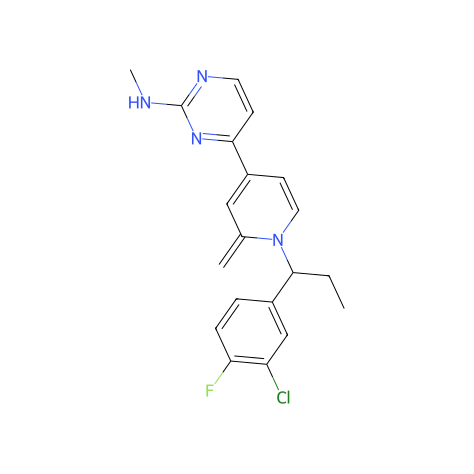 C=C1C=C(c2ccnc(NC)n2)C=CN1C(CC)c1ccc(F)c(Cl)c1